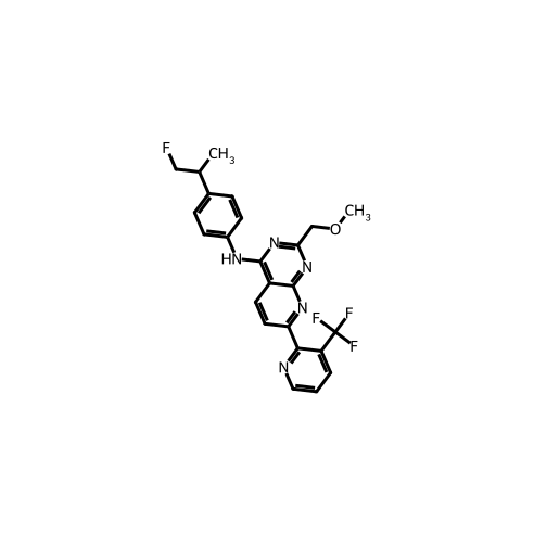 COCc1nc(Nc2ccc(C(C)CF)cc2)c2ccc(-c3ncccc3C(F)(F)F)nc2n1